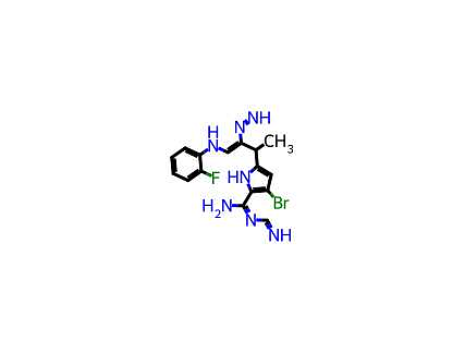 CC(/C(=C/Nc1ccccc1F)N=N)c1cc(Br)c(/C(N)=N\C=N)[nH]1